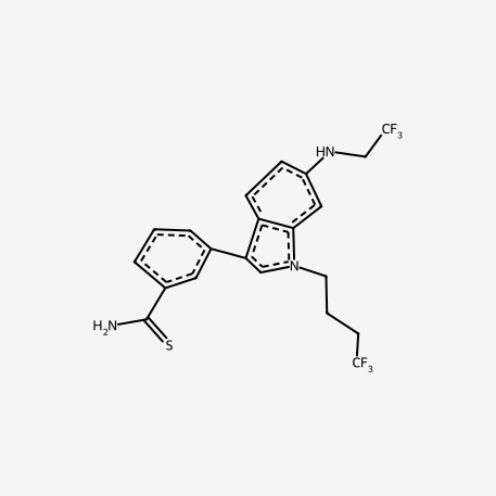 NC(=S)c1cccc(-c2cn(CCCC(F)(F)F)c3cc(NCC(F)(F)F)ccc23)c1